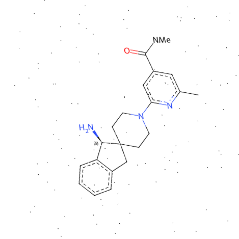 CNC(=O)c1cc(C)nc(N2CCC3(CC2)Cc2ccccc2[C@H]3N)c1